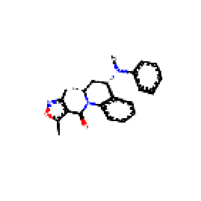 CC(=O)N(c1ccccc1)[C@H]1C[C@@H](C)N(C(=O)c2c(C)noc2C)c2ccccc21